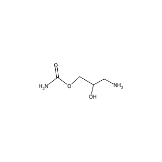 NCC(O)COC(N)=O